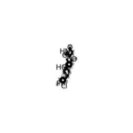 O=C1CCC(N2Cc3cc(C4(O)CCN(Cc5ccc(F)c(Cl)c5)CC4)ccc3C2=O)C(=O)N1